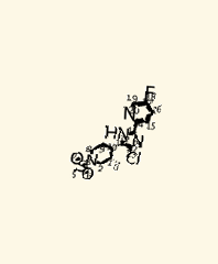 C[C@@H]1CN(S(C)(=O)=O)CC[C@@H]1c1[nH]c(-c2ccc(F)cn2)nc1Cl